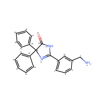 NCc1cccc(C2=NC(c3ccccc3)(c3ccccc3)C(=O)N2)c1